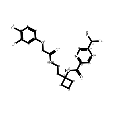 O=C(COc1ccc(Cl)c(F)c1)NCCC1(NC(=O)c2cnc(C(F)F)cn2)CCC1